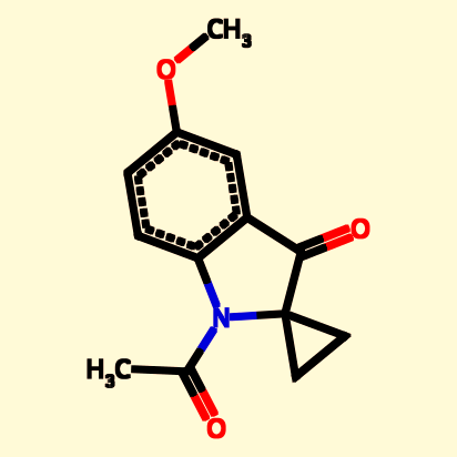 COc1ccc2c(c1)C(=O)C1(CC1)N2C(C)=O